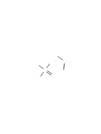 FNF.O=P(O)(O)O